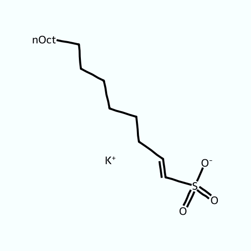 CCCCCCCCCCCCCCC=CS(=O)(=O)[O-].[K+]